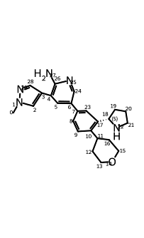 Cn1cc(-c2cc(-c3ccc(C4CCOCC4)c([C@@H]4CCCN4)c3)cnc2N)cn1